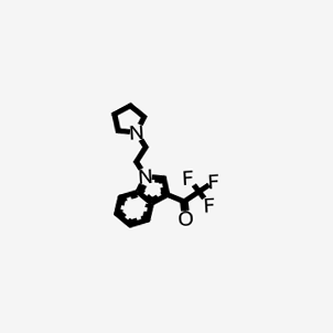 O=C(c1cn(CCN2CCCC2)c2ccccc12)C(F)(F)F